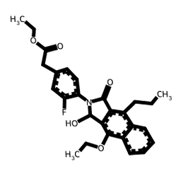 CCCc1c2c(c(OCC)c3ccccc13)C(O)N(c1ccc(CC(=O)OCC)cc1F)C2=O